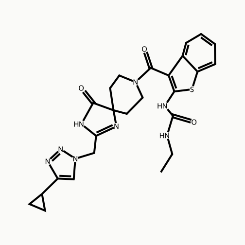 CCNC(=O)Nc1sc2ccccc2c1C(=O)N1CCC2(CC1)N=C(Cn1cc(C3CC3)nn1)NC2=O